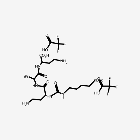 CCCCCCCCCCCCCCNC(=O)NC(CCN)C(=O)NC(C(=O)NC(CCN)C(=O)O)C(C)C.O=C(O)C(F)(F)F.O=C(O)C(F)(F)F